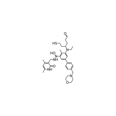 CCN(c1cc(-c2ccc(CN3CCOCC3)cc2)cc(N(O)NCc2c(C)cc(C)[nH]c2=O)c1C)C(CCS)CCC=O